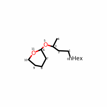 CCCCCCCCC(C)OC1CCCCO1